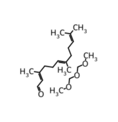 CC(C)=CCCC(C)=CCCC(C)=CC=O.COCOCOC